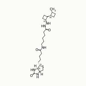 CC1CC[C@H]1C1CC[C@@H]1NNC(=O)CCCCCNC(=O)CCCC[C@@H]1SC[C@H]2NC(=O)N[C@@H]12